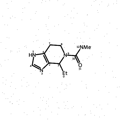 CCC1c2nc[nH]c2CCN1C(=O)NC